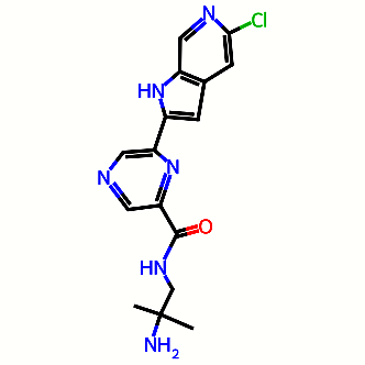 CC(C)(N)CNC(=O)c1cncc(-c2cc3cc(Cl)ncc3[nH]2)n1